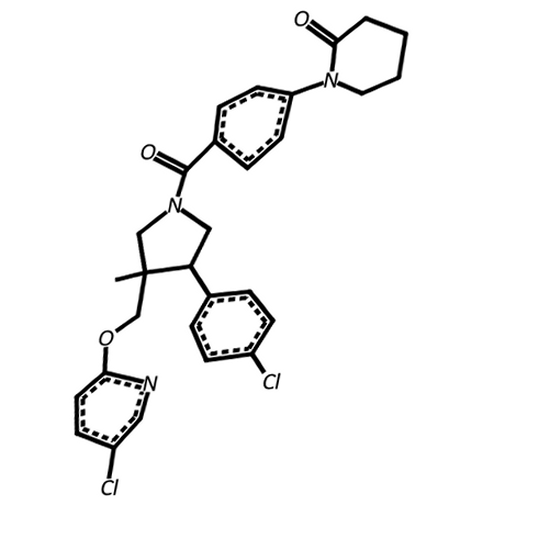 CC1(COc2ccc(Cl)cn2)CN(C(=O)c2ccc(N3CCCCC3=O)cc2)CC1c1ccc(Cl)cc1